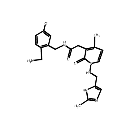 Cc1ncc(CNn2ccc(C)c(CC(=O)NCc3cc(Cl)ccc3CN)c2=O)[nH]1